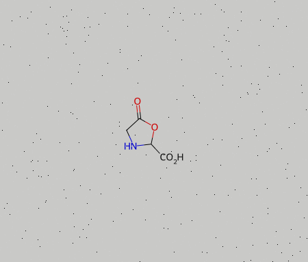 O=C1CNC(C(=O)O)O1